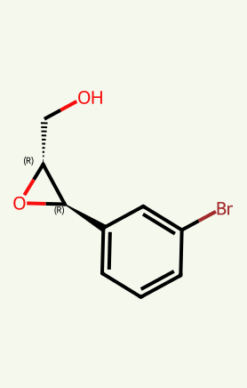 OC[C@H]1O[C@@H]1c1cccc(Br)c1